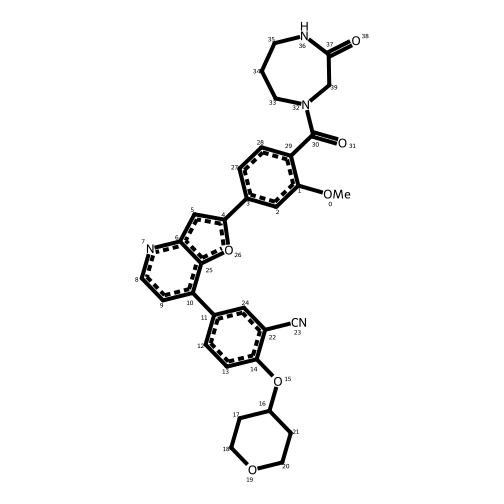 COc1cc(-c2cc3nccc(-c4ccc(OC5CCOCC5)c(C#N)c4)c3o2)ccc1C(=O)N1CCCNC(=O)C1